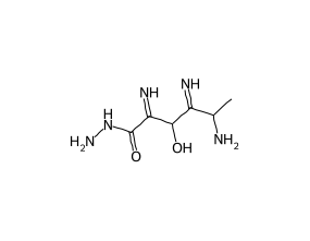 CC(N)C(=N)C(O)C(=N)C(=O)NN